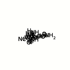 N#Cc1ccc(Nc2nc(NC3CCOCC3)c(OCCOCCOC(=O)CN)cc2NN)nc1